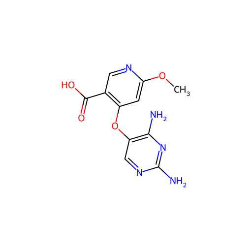 COc1cc(Oc2cnc(N)nc2N)c(C(=O)O)cn1